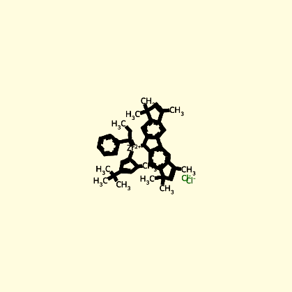 CC/[C](c1ccccc1)=[Zr+2](/[C]1=CC(C(C)(C)C)=CC1C)[CH]1c2cc3c(cc2-c2cc4c(cc21)C(C)(C)C=C4C)C(C)=CC3(C)C.[Cl-].[Cl-]